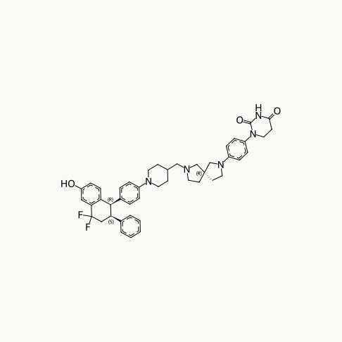 O=C1CCN(c2ccc(N3CC[C@@]4(CCN(CC5CCN(c6ccc([C@@H]7c8ccc(O)cc8C(F)(F)C[C@@H]7c7ccccc7)cc6)CC5)C4)C3)cc2)C(=O)N1